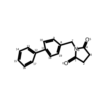 O=C1CCC(=O)N1Cc1ccc(-c2ccccc2)cc1